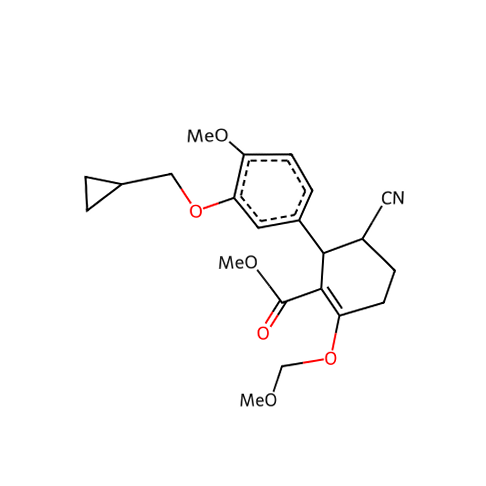 COCOC1=C(C(=O)OC)C(c2ccc(OC)c(OCC3CC3)c2)C(C#N)CC1